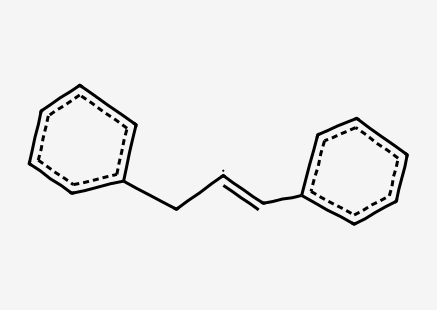 [C](=Cc1ccccc1)Cc1ccccc1